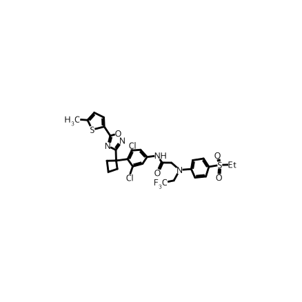 CCS(=O)(=O)c1ccc(N(CC(=O)Nc2cc(Cl)c(C3(c4noc(-c5ccc(C)s5)n4)CCC3)c(Cl)c2)CC(F)(F)F)cc1